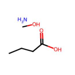 CCCC(=O)O.CO.N